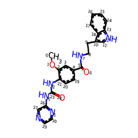 COc1cc(C(=O)NCCc2c[nH]c3ccccc23)ccc1NC(=O)Nc1cnccn1